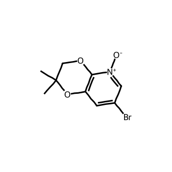 CC1(C)COc2c(cc(Br)c[n+]2[O-])O1